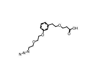 [N-]=[N+]=NCCOCCOc1cccc(CCOCCC(=O)O)c1